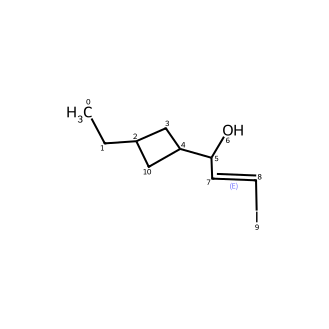 CCC1CC(C(O)/C=C/I)C1